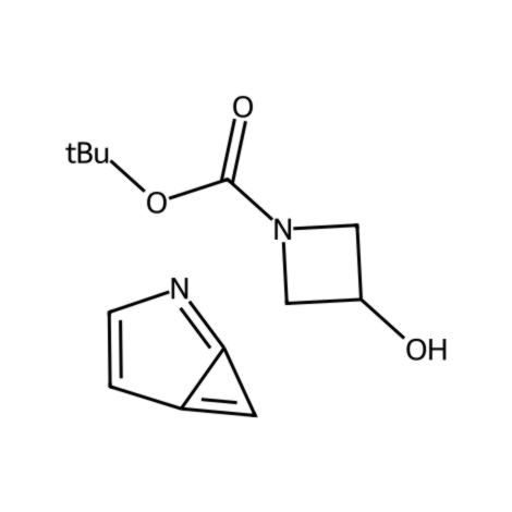 CC(C)(C)OC(=O)N1CC(O)C1.c1cc2cc-2n1